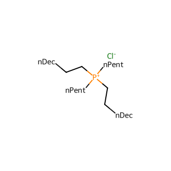 CCCCCCCCCCCC[P+](CCCCC)(CCCCC)CCCCCCCCCCCC.[Cl-]